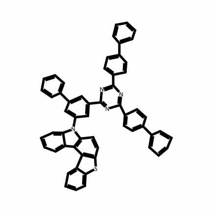 c1ccc(-c2ccc(-c3nc(-c4ccc(-c5ccccc5)cc4)nc(-c4cc(-c5ccccc5)cc(-n5c6ccccc6c6c7c(ccc65)sc5ccccc57)c4)n3)cc2)cc1